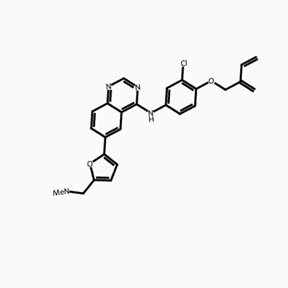 C=CC(=C)COc1ccc(Nc2ncnc3ccc(-c4ccc(CNC)o4)cc23)cc1Cl